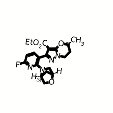 CCOC(=O)c1c(-c2ccc(F)nc2N2C[C@@H]3C[C@H]2CO3)nn2c1O[C@H](C)CC2